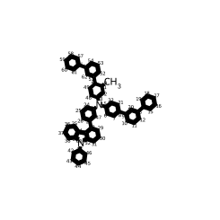 CC1C=C(N(c2ccc(-c3cccc(-c4ccccc4)c3)cc2)c2cccc(-c3cccc4c3c3ccccc3n4-c3ccccc3)c2)C=CC1c1cccc(-c2ccccc2)c1